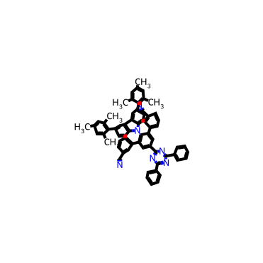 Cc1cc(C)c(-c2ccc3c(c2)c2cc(-c4c(C)cc(C)cc4C)ccc2n3-c2c(-c3cccc(C#N)c3)cc(-c3nc(-c4ccccc4)nc(-c4ccccc4)n3)cc2-c2cccc(C#N)c2)c(C)c1